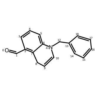 O=Cc1cccc2c1CC=CN2Cc1ccccc1